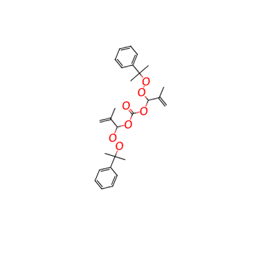 C=C(C)C(OOC(C)(C)c1ccccc1)OC(=O)OC(OOC(C)(C)c1ccccc1)C(=C)C